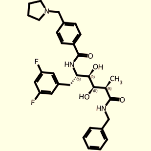 C[C@@H](C(=O)NCc1ccccc1)[C@@H](O)[C@H](O)[C@H](Cc1cc(F)cc(F)c1)NC(=O)c1ccc(CN2CCCC2)cc1